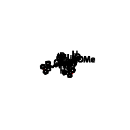 COC(=O)CNC(=O)[C@H](NC(=O)[C@@H](CSC(c1ccccc1)(c1ccccc1)c1ccccc1)NC(=O)[C@@H](CCC(=O)OC(C)(C)C)NC(=O)C[C@H](O)C=CCCSC(c1ccccc1)(c1ccccc1)c1ccccc1)C(C)C